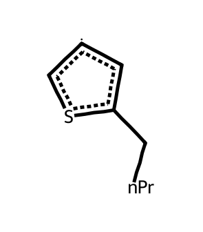 CCCCc1c[c]cs1